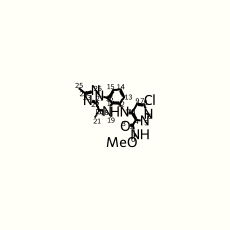 CONC(=O)c1nnc(Cl)cc1Nc1cccc2c1N(C)[C@@H](C)c1nc(C)nn1-2